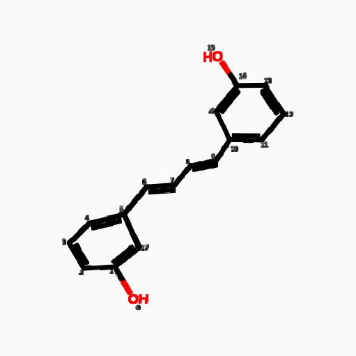 Oc1cccc(C=CC=Cc2cccc(O)c2)c1